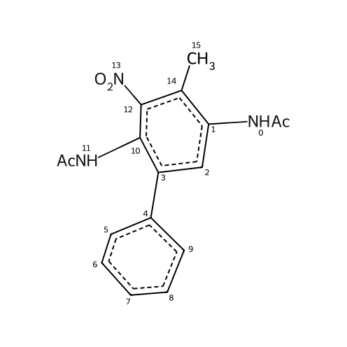 CC(=O)Nc1cc(-c2ccccc2)c(NC(C)=O)c([N+](=O)[O-])c1C